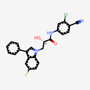 N#Cc1ccc(NC(=O)[C@@H](O)Cn2cc(-c3ccccc3)c3cc(F)ccc32)cc1Cl